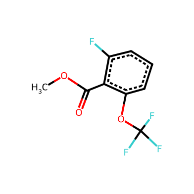 COC(=O)c1c(F)cccc1OC(F)(F)F